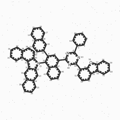 c1ccc(-c2nc(-c3cc(-c4ccc5ccccc5c4)c(-n4c5cc6ccccc6cc5c5c6ccccc6ccc54)c4ccccc34)nc(-c3cccc4c3oc3ccccc34)n2)cc1